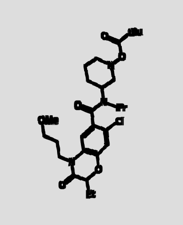 CCC1Oc2cc(Cl)c(C(=O)N(C(C)C)C3CCCN(OC(=O)C(C)(C)C)C3)cc2N(CCCOC)C1=O